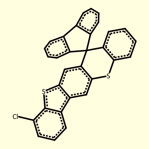 Clc1cccc2c1sc1cc3c(cc12)Sc1ccccc1C31c2ccccc2-c2ccccc21